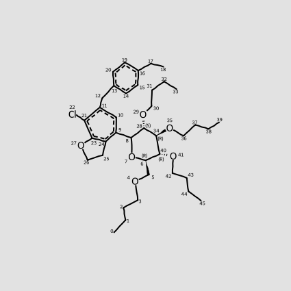 CCCCOC[C@H]1OC(c2cc(Cc3ccc(CC)cc3)c(Cl)c3c2CCO3)[C@H](OCCCC)[C@@H](OCCCC)[C@@H]1OCCCC